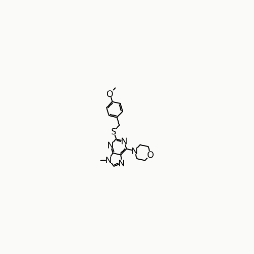 COc1ccc(CSc2nc(N3CCOCC3)c3ncn(C)c3n2)cc1